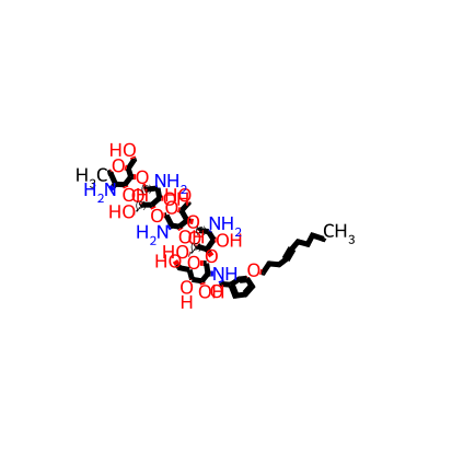 CCCCCC#CCCCOc1cccc(C(=O)NC2C(OC3C(O)C(N)[C@H](OC4C(CO)OC(OC5C(O)C(N)[C@H](OC6C(CO)OC(C)C(N)C6O)O[C@H]5CO)C(N)C4O)O[C@H]3CO)OC(CO)C(O)C2O)c1